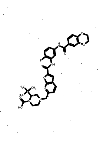 CC(C)(C)C1CN(Cc2ccc3cc(C(=O)Nc4cc(NC(=O)c5ccc6c(c5)OCCO6)ccc4F)sc3n2)CCN1C(=O)O